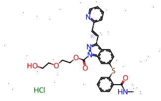 CNC(=O)c1ccccc1Sc1ccc2c(/C=C/c3ccccn3)nn(C(=O)OCCOCCO)c2c1.Cl